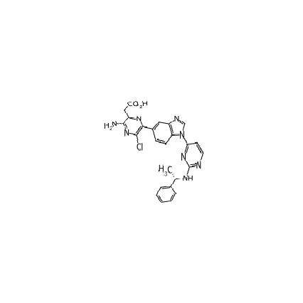 C[C@H](Nc1nccc(-n2cnc3cc(-c4nc(CC(=O)O)c(N)nc4Cl)ccc32)n1)c1ccccc1